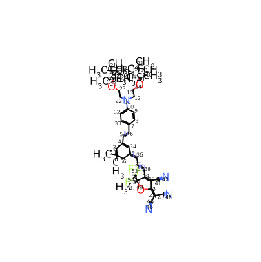 CC1(C)CC(/C=C/c2ccc(N(CCO[Si](C)(C)C(C)(C)C)CCO[Si](C)(C)C(C)(C)C)cc2)=CC(=C/C=C/C2=C(C#N)C(=C(C#N)C#N)OC2(C)C(F)(F)F)/C1